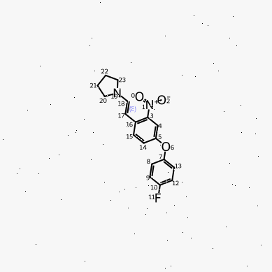 O=[N+]([O-])c1cc(Oc2ccc(F)cc2)ccc1/C=C/N1CCCC1